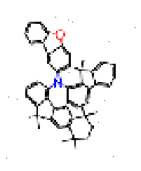 CC1(C)CCC(C)(C)c2cc3c(cc21)-c1c(N(c2ccc4oc5ccccc5c4c2)c2cccc4c2C(C)(C)c2ccccc2-4)cccc1C3(C)C